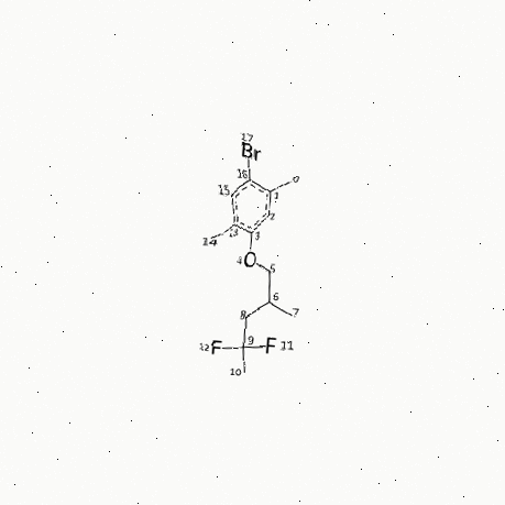 Cc1cc(OCC(C)CC(C)(F)F)c(C)cc1Br